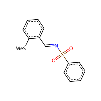 CSc1ccccc1/C=N/S(=O)(=O)c1ccccc1